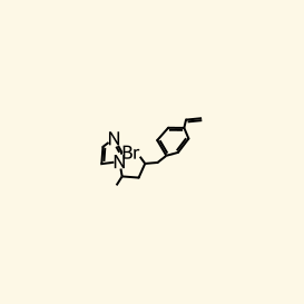 C=Cc1ccc(CC(Br)CC(C)n2ccnc2)cc1